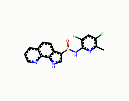 Cc1nc(N[S+]([O-])c2c[nH]c3c2ccc2cccnc23)c(F)cc1Cl